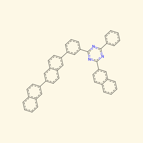 c1ccc(-c2nc(-c3cccc(-c4ccc5cc(-c6ccc7ccccc7c6)ccc5c4)c3)nc(-c3ccc4ccccc4c3)n2)cc1